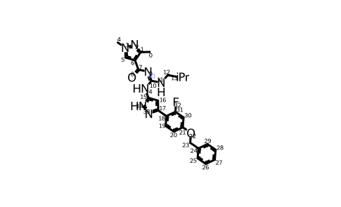 Cc1nn(C)cc1C(=O)/N=C(/NCC(C)C)Nc1cc(-c2ccc(OCc3ccccc3)cc2F)n[nH]1